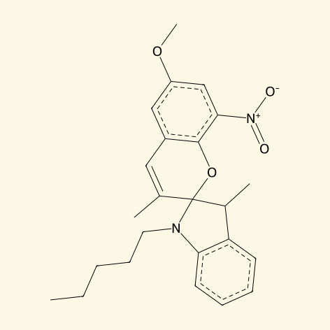 CCCCCN1c2ccccc2C(C)C12Oc1c(cc(OC)cc1[N+](=O)[O-])C=C2C